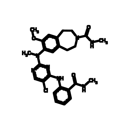 CNC(=O)c1ccccc1Nc1nc(N(C)c2cc3c(cc2OC)CCN(C(=O)NC)CC3)ncc1Cl